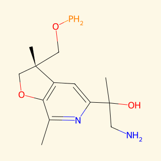 Cc1nc(C(C)(O)CN)cc2c1OC[C@]2(C)COP